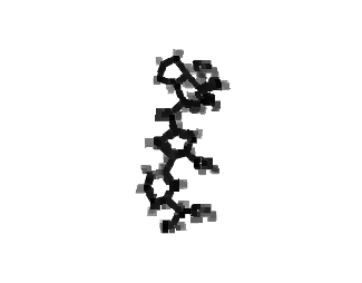 Cc1nc(NC(=O)N2CCC[C@@]2(C)C(N)=O)sc1-c1ccnc(N(C)C(C)C)n1